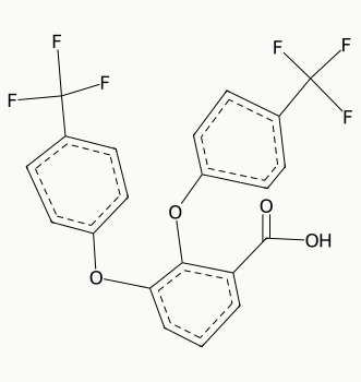 O=C(O)c1cccc(Oc2ccc(C(F)(F)F)cc2)c1Oc1ccc(C(F)(F)F)cc1